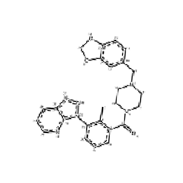 Cc1c(C(=O)N2CCN(Cc3ccc4c(c3)OCO4)CC2)cccc1-n1nnc2cccnc21